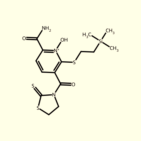 C[Si](C)(C)CCSc1c(C(=O)N2CCSC2=S)ccc(C(N)=O)[n+]1O